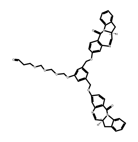 O=CCCOCOCOCOc1cc(COc2ccc3c(c2)N=C[C@@H]2Cc4ccccc4N2C3=O)cc(COc2ccc3c(c2)N=C[C@@H]2Cc4ccccc4N2C3=O)c1